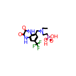 CCN(CCP(=O)(O)O)Cc1cc(C(F)(F)F)cc2[nH]c(=O)c(=O)[nH]c12